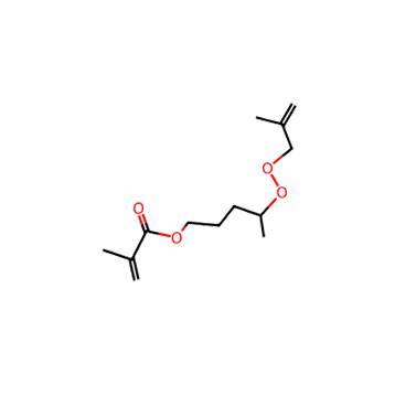 C=C(C)COOC(C)CCCOC(=O)C(=C)C